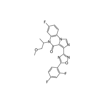 COCC(C)n1c(=O)c2c(-c3noc(-c4ccc(F)cc4F)n3)ncn2c2ccc(F)cc21